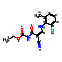 CCOC(=O)NC(=O)C(C#N)=CNc1c(C)cccc1Cl